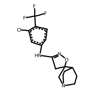 FC(F)(F)c1ccc(NC2=NOC3(C2)CN2CCC3CC2)cc1Cl